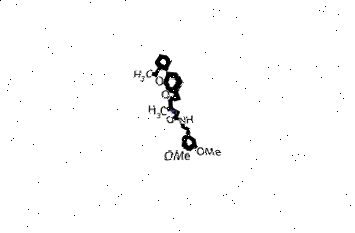 COc1ccc(CCNC(=O)/C=C(\C)c2cc3cccc(OC(C)c4ccccc4)c3o2)cc1OC